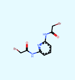 O=C(CBr)Nc1cccc(NC(=O)CBr)n1